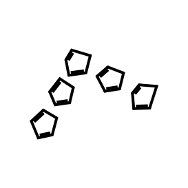 C1=CCC=C1.C1=CCC=C1.C1=CCC=C1.C1=CCC=C1.C1=CCC=C1